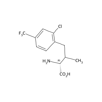 CC(Cc1ccc(C(F)(F)F)cc1Cl)[C@@H](N)C(=O)O